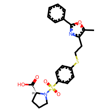 Cc1oc(-c2ccccc2)nc1CCSc1ccc(S(=O)(=O)N2CCC[C@@H]2C(=O)O)cc1